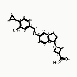 O=C(O)C1CN(C2CCc3cc(OCc4ccc(C5CC5)c(Cl)c4)ccc32)C1